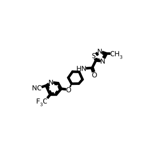 Cc1nsc(C(=O)N[C@H]2CC[C@H](Oc3cnc(C#N)c(C(F)(F)F)c3)CC2)n1